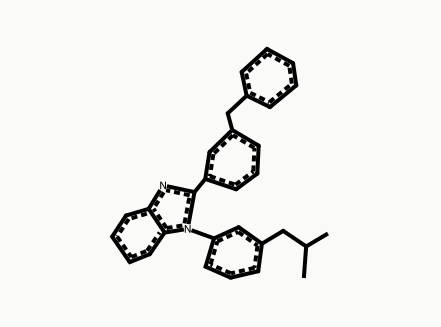 CC(C)Cc1cccc(-n2c(-c3cccc(Cc4ccccc4)c3)nc3ccccc32)c1